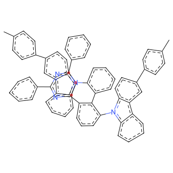 Cc1ccc(-c2ccc3c(c2)c2ccccc2n3-c2ccccc2-c2c(-c3cc(-c4ccccc4)nc(-c4ccccc4)n3)cccc2-n2c3ccccc3c3cc(-c4ccc(C)cc4)ccc32)cc1